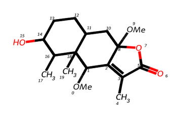 COC1C2=C(C)C(=O)OC2(OC)CC2CCC(O)C(C)C21C